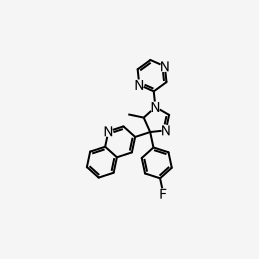 CC1N(c2cnccn2)C=NC1(c1ccc(F)cc1)c1cnc2ccccc2c1